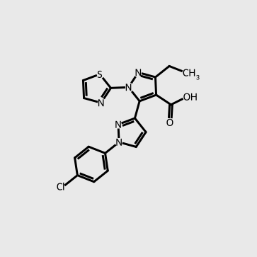 CCc1nn(-c2nccs2)c(-c2ccn(-c3ccc(Cl)cc3)n2)c1C(=O)O